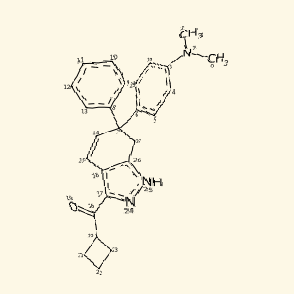 CN(C)c1ccc(C2(c3ccccc3)C=Cc3c(C(=O)C4CCC4)n[nH]c3C2)cc1